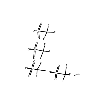 O=S(=O)([O-])C(F)(F)F.O=S(=O)([O-])C(F)(F)F.O=S(=O)([O-])C(F)(F)F.O=S(=O)([O-])C(F)(F)F.[Zn+4]